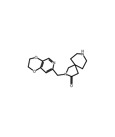 O=C1CC2(CCNCC2)CN1Cc1cc2c(cn1)OCCO2